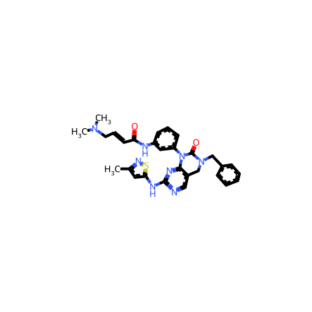 Cc1cc(Nc2ncc3c(n2)N(c2cccc(NC(=O)/C=C/CN(C)C)c2)C(=O)N(Cc2ccccc2)C3)sn1